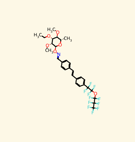 CCO[C@@H]1[C@@H](OC)[C@H](C)O[C@@H](ON=Cc2ccc(/C=C/c3ccc(C(F)(F)C(F)(F)OC(F)(F)C(F)(F)C(F)(F)F)cc3)cc2)[C@@H]1OC